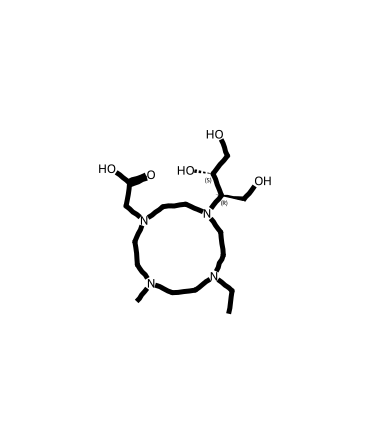 CCN1CCN(C)CCN(CC(=O)O)CCN([C@H](CO)[C@H](O)CO)CC1